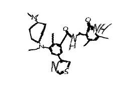 CCN(c1cc(-c2cscn2)cc(C(=O)NCc2c(C)cc(C)[nH]c2=O)c1C)[C@H]1CC[C@H](N(C)C)CC1